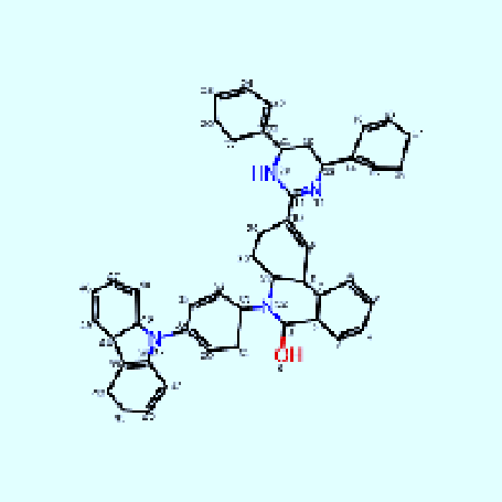 OC1C2C=CC=CC2C2C=C(C3=NC(C4=CCCC=C4)CC(C4=CC=CCC4)N3)CCC2N1C1C=CC(N2C3=C(CCC=C3)C3C=CC=CC32)=CC1